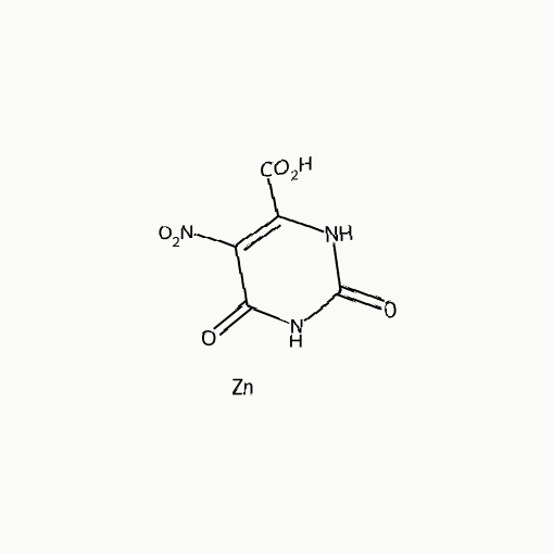 O=C(O)c1[nH]c(=O)[nH]c(=O)c1[N+](=O)[O-].[Zn]